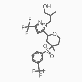 CC(CO)Cn1nc(C(F)(F)F)cc1C1CC(C)(S(=O)(=O)c2cccc(C(F)(F)F)c2)CCO1